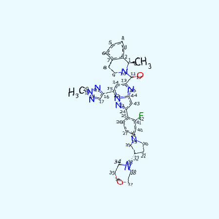 C[C@@H]1c2ccccc2CCN1C(=O)c1cc(-c2cnn(C)n2)n2nc(-c3ccc(N4CC[C@H](N5CCOCC5)C4)cc3F)cc2n1